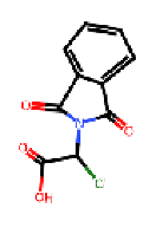 O=C(O)C(Cl)N1C(=O)c2ccccc2C1=O